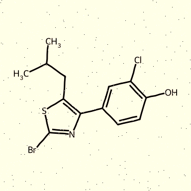 CC(C)Cc1sc(Br)nc1-c1ccc(O)c(Cl)c1